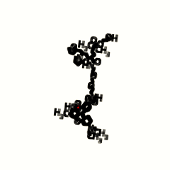 CCN(CC)C1C=CC2=C(c3ccc(S(=O)(=O)NCCOCCOCCNC(=O)C(CCC(CC4CCCO4)N4CCCC4=O)CCC(C)(C)C(=O)OCCO)cc3S(=O)(=O)O)c3ccc(C)cc3OC2=C1